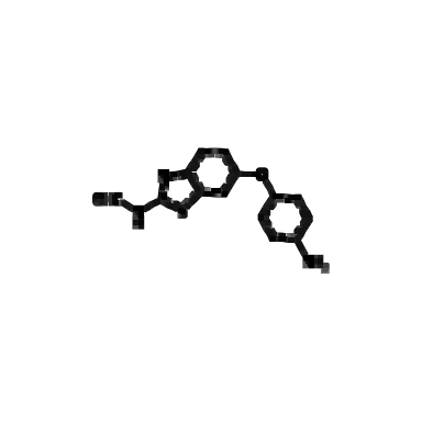 Nc1ccc(Oc2ccc3nc(NC=O)sc3c2)cc1